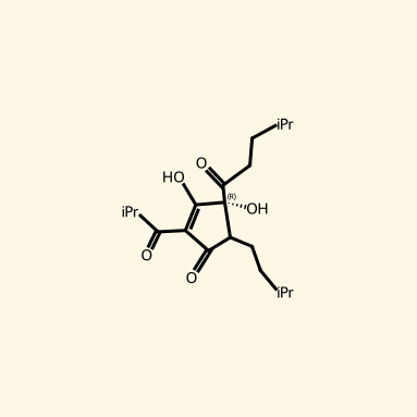 CC(C)CCC(=O)[C@]1(O)C(O)=C(C(=O)C(C)C)C(=O)C1CCC(C)C